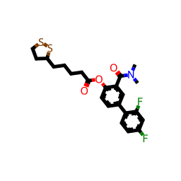 CN(C)C(=O)c1cc(-c2ccc(F)cc2F)ccc1OC(=O)CCCCC1CCSS1